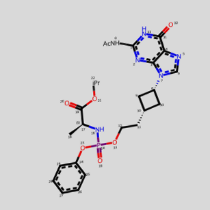 CC(=O)Nc1nc2c(ncn2[C@H]2C[C@@H](CCOP(=O)(N[C@@H](C)C(=O)OC(C)C)Oc3ccccc3)C2)c(=O)[nH]1